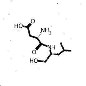 CC(C)C[C@@H](CO)NC(=O)[C@@H](N)CC(=O)O